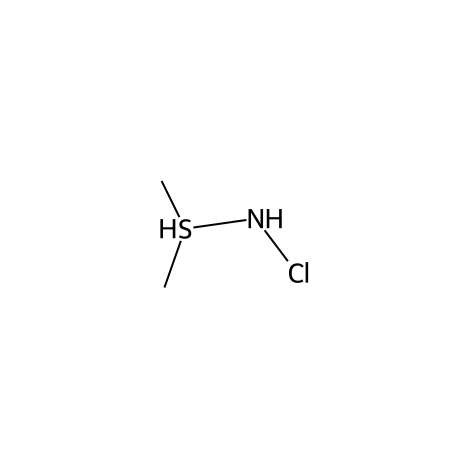 C[SH](C)NCl